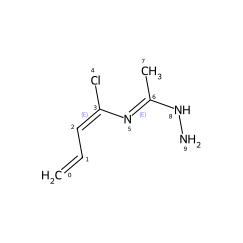 C=C/C=C(Cl)\N=C(/C)NN